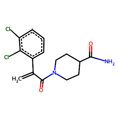 C=C(C(=O)N1CCC(C(N)=O)CC1)c1cc[c]c(Cl)c1Cl